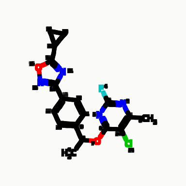 Cc1nc(F)nc(OC(C)c2ccc(-c3noc(C4CC4)n3)cc2)c1Cl